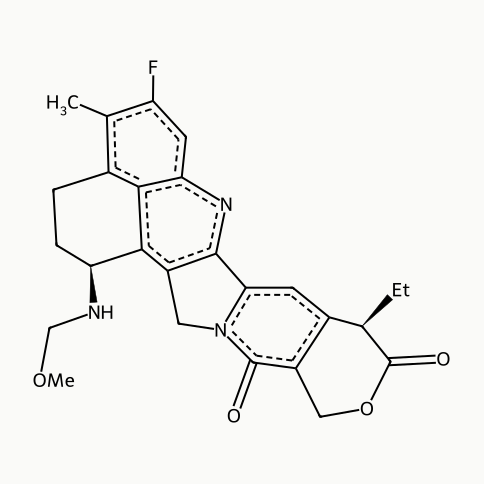 CC[C@H]1C(=O)OCc2c1cc1n(c2=O)Cc2c-1nc1cc(F)c(C)c3c1c2[C@@H](NCOC)CC3